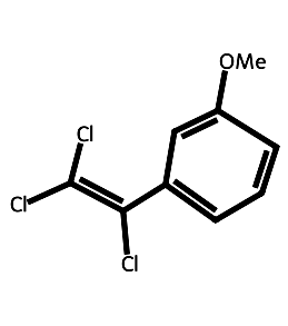 COc1cccc(C(Cl)=C(Cl)Cl)c1